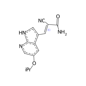 CC(C)Oc1cnc2[nH]cc(/C=C(\C#N)C(N)=O)c2c1